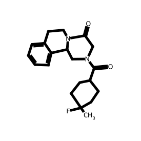 CC1(F)CCC(C(=O)N2CC(=O)N3CCc4ccccc4C3C2)CC1